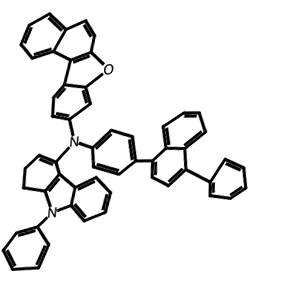 C1=C(N(c2ccc(-c3ccc(-c4ccccc4)c4ccccc34)cc2)c2ccc3c(c2)oc2ccc4ccccc4c23)c2c(n(-c3ccccc3)c3ccccc23)CC1